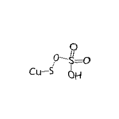 O=S(=O)(O)O[S][Cu]